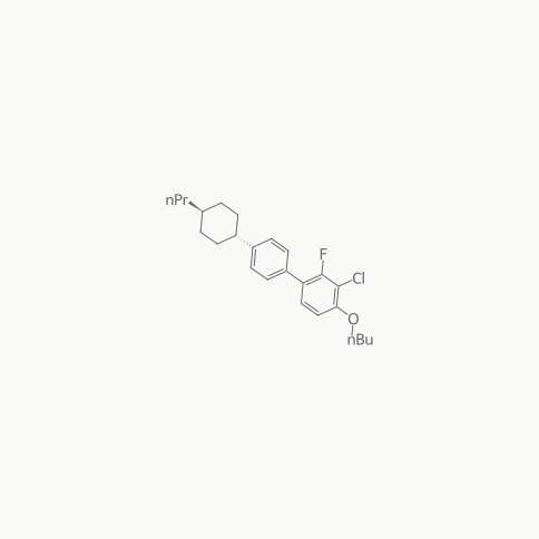 CCCCOc1ccc(-c2ccc([C@H]3CC[C@H](CCC)CC3)cc2)c(F)c1Cl